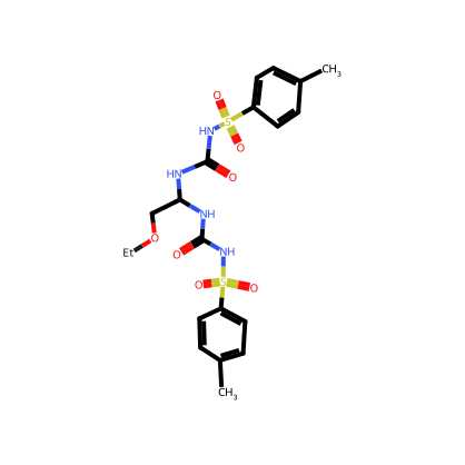 CCOCC(NC(=O)NS(=O)(=O)c1ccc(C)cc1)NC(=O)NS(=O)(=O)c1ccc(C)cc1